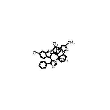 Cc1cc(NC(=O)c2[nH]c3cc(Cl)ccc3c2-c2c(-c3ccccc3)ncn2C(C)c2ccc(Cl)cc2)n(-c2ccccc2)n1